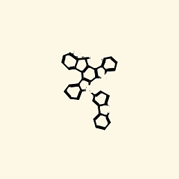 CC1(C)c2ccccc2-c2c1c1c3ccccc3oc1c1c2c2ccccc2n1-c1ccc2sc3ccccc3c2c1